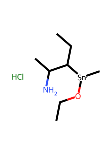 CC[O][Sn]([CH3])[CH](CC)C(C)N.Cl